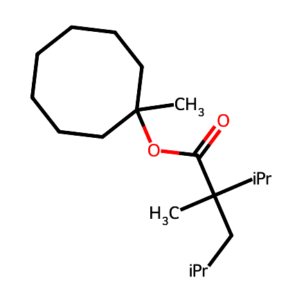 CC(C)CC(C)(C(=O)OC1(C)CCCCCCC1)C(C)C